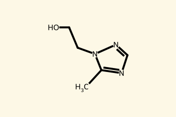 Cc1ncnn1CCO